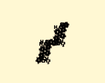 CC1(C)c2ccccc2-c2ccc(-c3c4ccccc4c(-c4ccc5c(c4)[Si](C)(C)c4ccc6c7c(ccc6c4-5)[Si](C)(C)c4cc(-c5c6ccccc6c(-c6ccc8c(c6)C(C)(C)c6ccccc6-8)c6ccccc56)ccc4-7)c4ccccc34)cc21